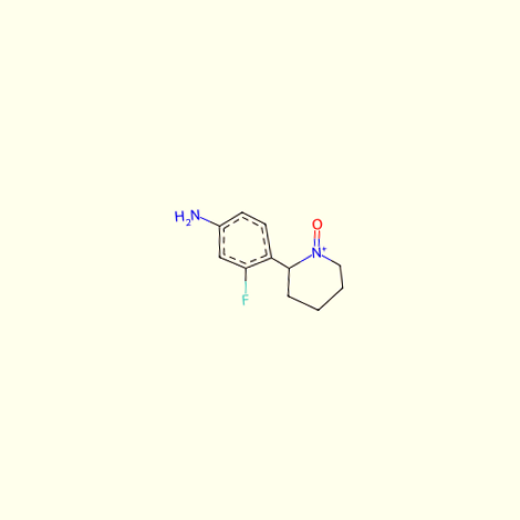 Nc1ccc(C2CCCC[N+]2=O)c(F)c1